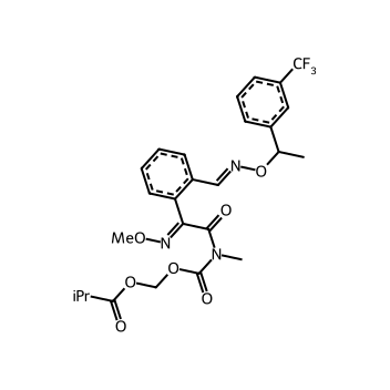 CO/N=C(/C(=O)N(C)C(=O)OCOC(=O)C(C)C)c1ccccc1/C=N/OC(C)c1cccc(C(F)(F)F)c1